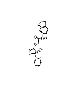 CCn1c(SCC(=O)Nc2ccc3c(c2)OCC3)nnc1-c1ccccn1